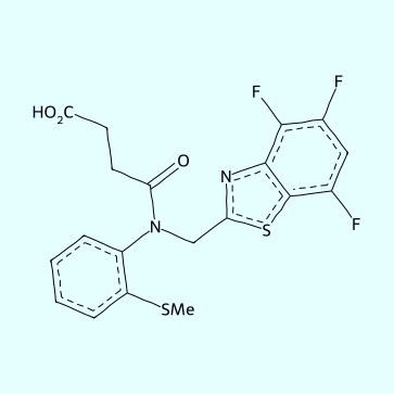 CSc1ccccc1N(Cc1nc2c(F)c(F)cc(F)c2s1)C(=O)CCC(=O)O